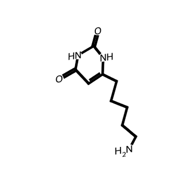 NCCCCCc1cc(=O)[nH]c(=O)[nH]1